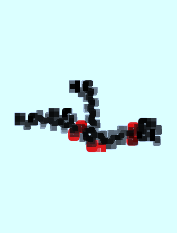 C=CC(CCCCCCC)C(=O)O[C@@H]1C[C@H](O)[C@H](C/C=C\CCCC(=O)OC(C)C)[C@H]1/C=C/CCCCCC